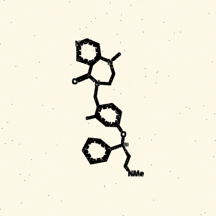 CNCC[C@H](Oc1ccc(CN2CCN(C)c3ccncc3C2=O)c(C)c1)c1ccccc1